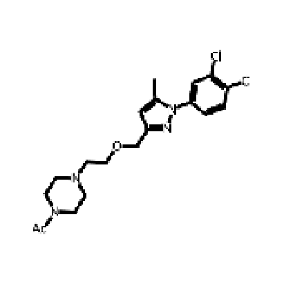 CC(=O)N1CCN(CCOCc2cc(C)n(-c3ccc(Cl)c(Cl)c3)n2)CC1